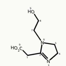 O=C(O)CC1=NCCN1CCO